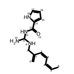 C=C(/C=C\C=C/C)CNC(N)NC(=O)c1ccc[nH]1